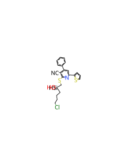 N#Cc1c(-c2ccccc2)cc(-c2cccs2)nc1SC[SiH](O)CCCCCl